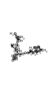 C=CC(=O)Nc1cc(Nc2nccc(-c3cn(C)c4ccccc34)n2)c(OC)cc1N(C)CCN(C)Cc1cn(CCOCCOCCOCCNC(=O)C(CSCCNC(=O)C(CCCCN=[N+]=[N-])NC(=O)CCC(=O)NCc2ccc(Cn3c(O)nc4c(N)nc(OCCOC)nc43)cc2)CC(=O)Nc2cccc3c2C(=O)N(C2CCC(=O)NC2=O)C3=O)nn1